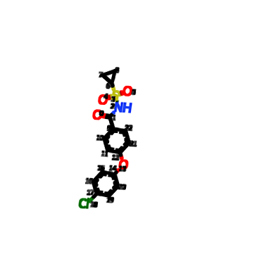 O=C(NS(=O)(=O)C1CC1)c1ccc(Oc2ccc(Cl)cc2)cc1